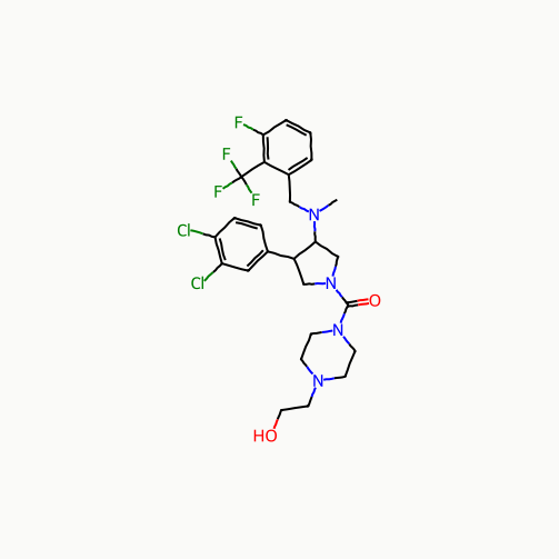 CN(Cc1cccc(F)c1C(F)(F)F)C1CN(C(=O)N2CCN(CCO)CC2)CC1c1ccc(Cl)c(Cl)c1